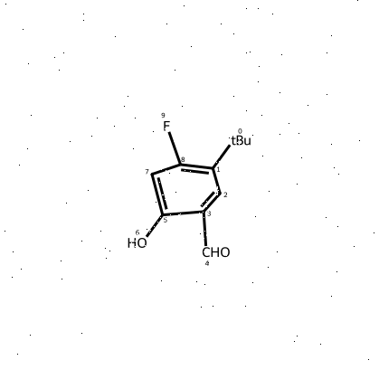 CC(C)(C)c1cc(C=O)c(O)cc1F